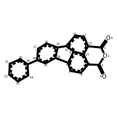 O=C1OC(=O)c2ccc3c4c(ccc1c24)-c1ccc(-c2ccccc2)cc1-3